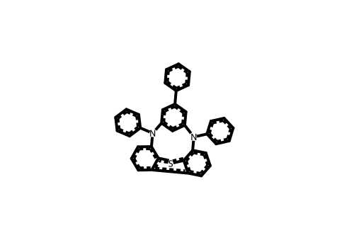 c1ccc(-c2cc3cc(c2)N(c2ccccc2)c2cccc4c2sc2c(cccc24)N3c2ccccc2)cc1